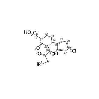 CC[C@@H](C(=O)CC(C)C)N1C(=O)C(CC(=O)O)CCC1c1ccc(Cl)cc1